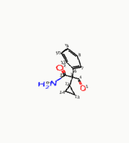 NC(=O)C(C=O)(c1ccccc1)C1CC1